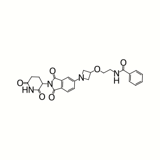 O=C1CCC(N2C(=O)c3ccc(N4CC(OCCNC(=O)c5ccccc5)C4)cc3C2=O)C(=O)N1